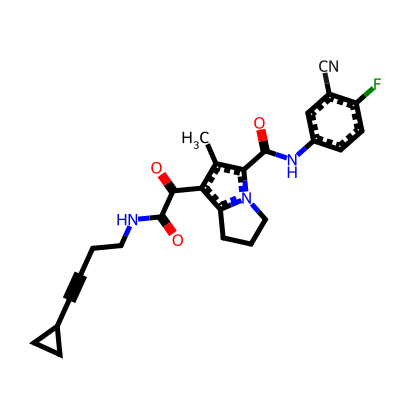 Cc1c(C(=O)C(=O)NCCC#CC2CC2)c2n(c1C(=O)Nc1ccc(F)c(C#N)c1)CCC2